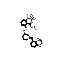 NC1=NS(=O)(=O)Nc2cccc(OC[C@H]3CCCN(C(=O)c4cccc5c4OCCO5)C3)c21